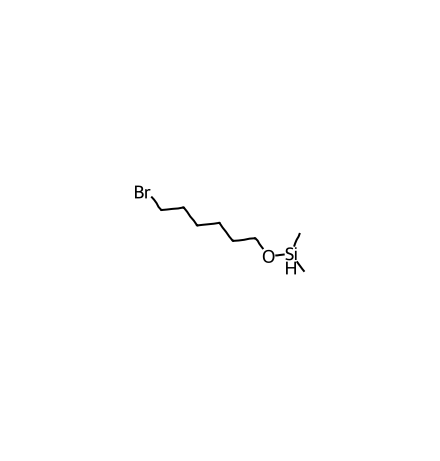 C[SiH](C)OCCCCCCBr